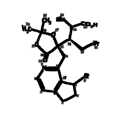 CCC1CCc2ccnc(C[C@]3([C@H](CC(C)C)N(C(=O)O)C(C)(C)C)OC(C)(C)OC3=O)c21